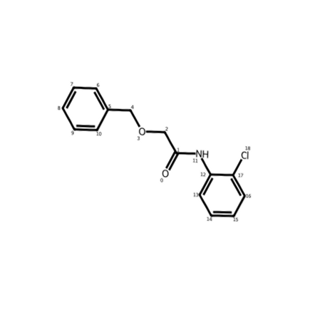 O=C(COCc1ccccc1)Nc1ccccc1Cl